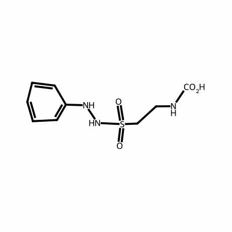 O=C(O)NCCS(=O)(=O)NNc1ccccc1